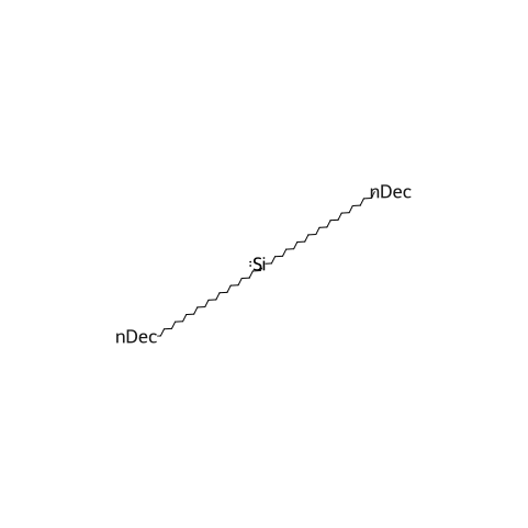 CCCCCCCCCCCCCCCCCCCCCCCCCCCCC[Si]CCCCCCCCCCCCCCCCCCCCCCCCCCCCC